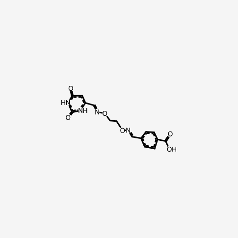 O=C(O)c1ccc(/C=N/OCCO/N=C/c2cc(=O)[nH]c(=O)[nH]2)cc1